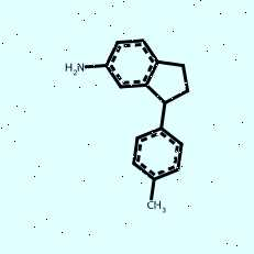 Cc1ccc(C2CCc3ccc(N)cc32)cc1